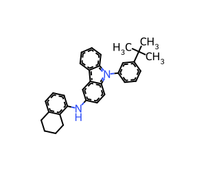 CC(C)(C)c1cccc(-n2c3ccccc3c3cc(Nc4cccc5c4CCCC5)ccc32)c1